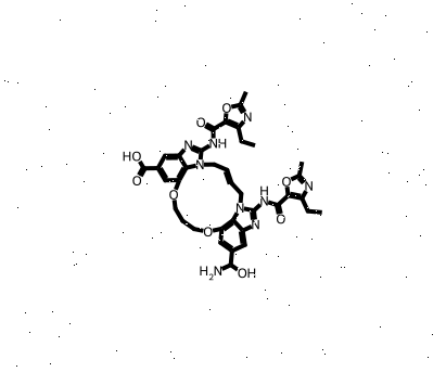 CCc1nc(C)oc1C(=O)Nc1nc2cc(C(=O)O)cc3c2n1C/C=C/Cn1c(NC(=O)c2oc(C)nc2CC)nc2cc(C(N)O)cc(c21)OCCCO3